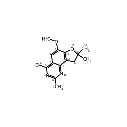 COc1cc2c(Cl)nc(C)nc2c2c1OC(C)(C)C2